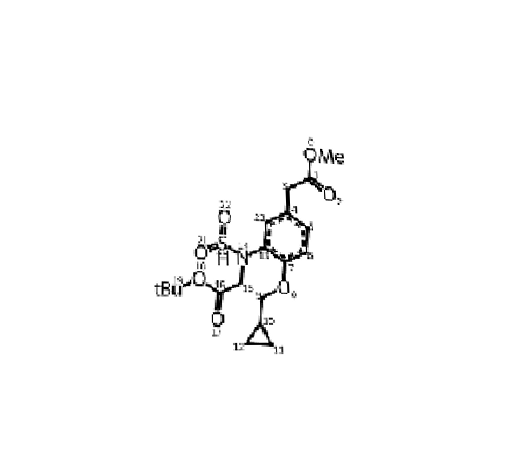 COC(=O)Cc1ccc(OCC2CC2)c(N(CC(=O)OC(C)(C)C)[SH](=O)=O)c1